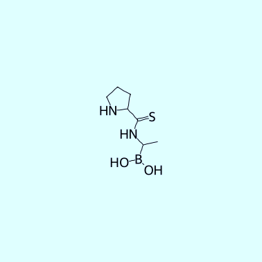 CC(NC(=S)C1CCCN1)B(O)O